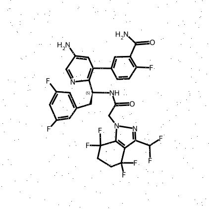 NC(=O)c1cc(-c2cc(N)cnc2[C@H](Cc2cc(F)cc(F)c2)NC(=O)Cn2nc(C(F)F)c3c2C(F)(F)CCC3(F)F)ccc1F